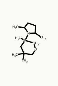 CC1CCC(C)N1[Si]1(C)CC(C)(C)CO[SiH2]1